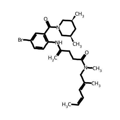 C=C(CCC(=O)N(C)C/C(C)=C/C=C\C)Nc1ccc(Br)cc1C(=O)N1C[C@H](C)C[C@H](C)C1